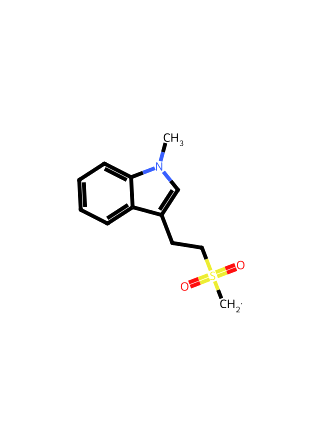 [CH2]S(=O)(=O)CCc1cn(C)c2ccccc12